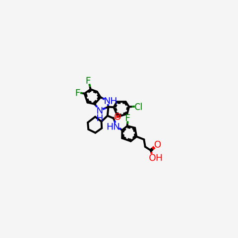 O=C(O)CCc1ccc(NC(=O)C(C2CCCCC2)C2(c3ccc(Cl)cc3)Nc3cc(F)c(F)cc3N2)c(F)c1